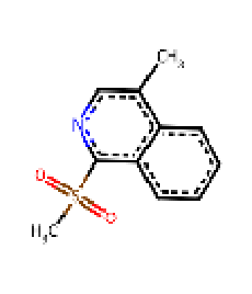 Cc1cnc(S(C)(=O)=O)c2ccccc12